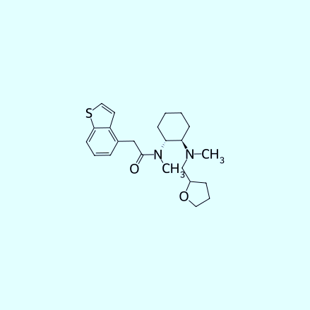 CN(CC1CCCO1)[C@@H]1CCCC[C@H]1N(C)C(=O)Cc1cccc2sccc12